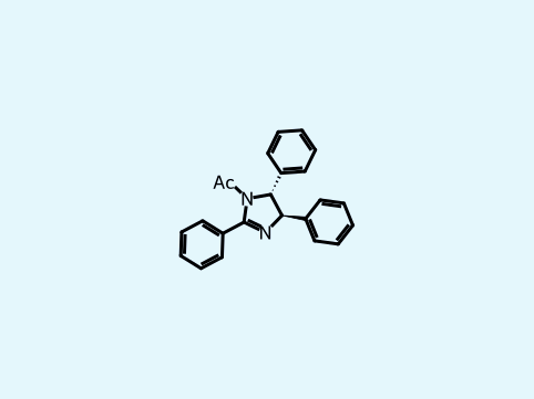 CC(=O)N1C(c2ccccc2)=N[C@H](c2ccccc2)[C@H]1c1ccccc1